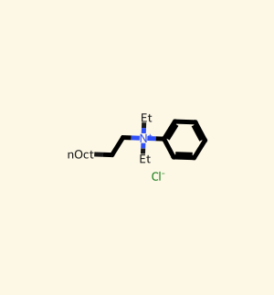 CCCCCCCCCC[N+](CC)(CC)c1ccccc1.[Cl-]